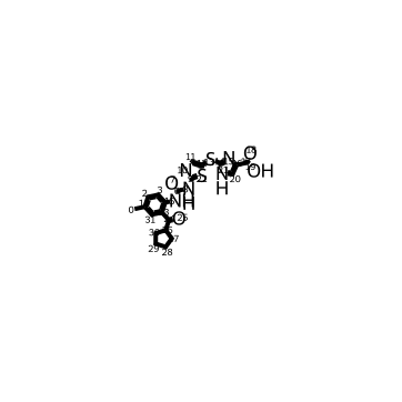 Cc1ccc(NC(=O)Nc2ncc(Sc3nc(C(=O)O)c[nH]3)s2)c(C(=O)C2CCCC2)c1